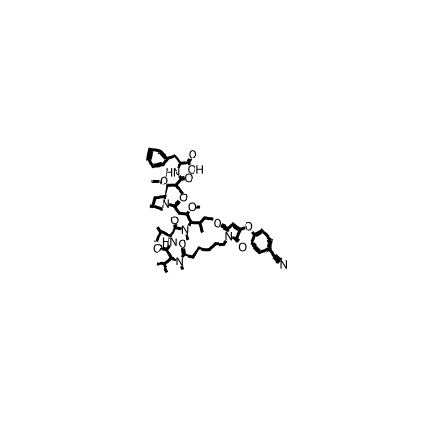 CCC(C)C(C(CC(=O)N1CCC[C@H]1C(OC)C(C)C(=O)NC(Cc1ccccc1)C(=O)O)OC)N(C)C(=O)C(NC(=O)C(C(C)C)N(C)C(=O)CCCCCN1C(=O)C=C(Oc2ccc(C#N)cc2)C1=O)C(C)C